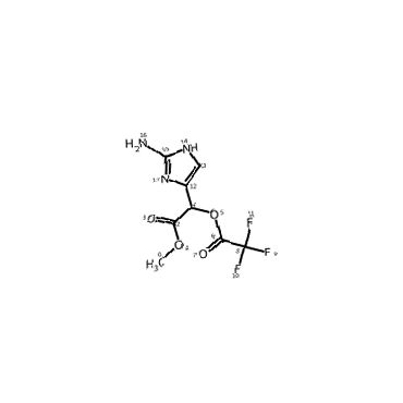 COC(=O)C(OC(=O)C(F)(F)F)c1c[nH]c(N)n1